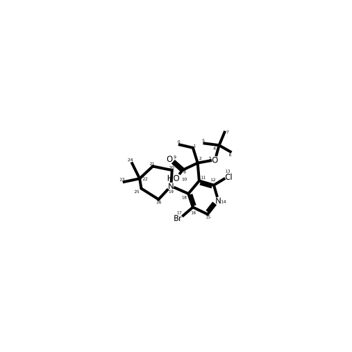 CCC(OC(C)(C)C)(C(=O)O)c1c(Cl)ncc(Br)c1N1CCC(C)(C)CC1